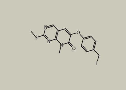 CSc1ncc2cc(Oc3ccc(CI)cc3)c(=O)n(C)c2n1